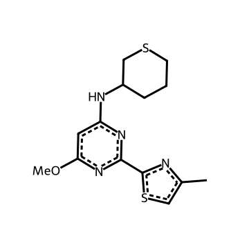 COc1cc(NC2CCCSC2)nc(-c2nc(C)cs2)n1